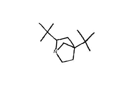 CC(C)(C)C1CC2(C(C)(C)C)CCN1C2